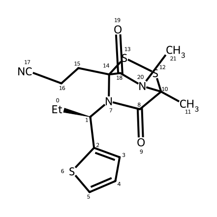 CC[C@H](c1cccs1)N1C(=O)C2(C)SSC1(CCC#N)C(=O)N2C